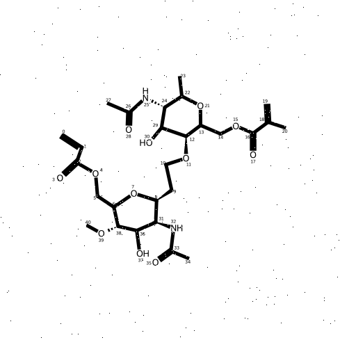 C=CC(=O)OCC1O[C@@H](CCO[C@@H]2C(COC(=O)C(=C)C)OC(C)[C@@H](NC(C)=O)C2O)[C@@H](NC(C)=O)C(O)[C@@H]1OC